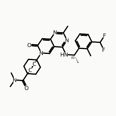 Cc1nc(N[C@@H](C)c2cccc(C(F)F)c2C)c2cn(C34CCC(C(=O)N(C)C)(CC3)CC4)c(=O)cc2n1